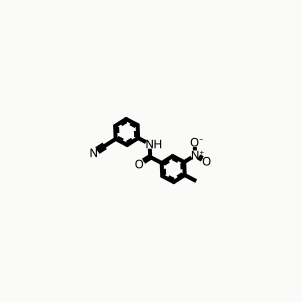 Cc1ccc(C(=O)Nc2cccc(C#N)c2)cc1[N+](=O)[O-]